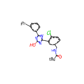 CC(C)c1cccc(-c2nc(O)nc(-c3cc(CNC(=O)C(C)(C)C)ccc3Cl)n2)c1